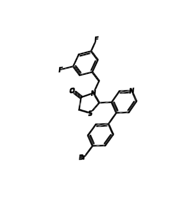 O=C1CSC(c2cnccc2-c2ccc(Br)cc2)N1Cc1cc(F)cc(F)c1